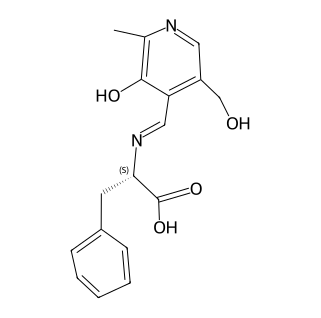 Cc1ncc(CO)c(C=N[C@@H](Cc2ccccc2)C(=O)O)c1O